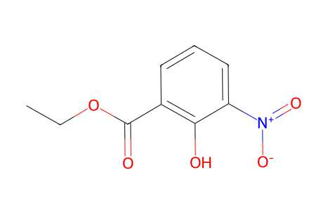 CCOC(=O)c1cccc([N+](=O)[O-])c1O